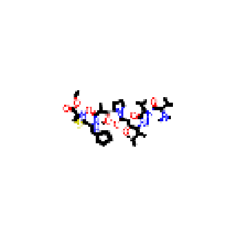 CCOC(=O)c1csc(C(Cc2ccccc2)NC(=O)C(C)C(OC)[C@@H]2CCCN2C(=O)CC(OC)C(C(C)CC)N(C)C(=O)C(NC(=O)C(C(C)C)N(C)C)C(C)C)n1